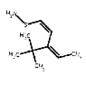 C/C=C(\C=C/SN)C(C)(C)C